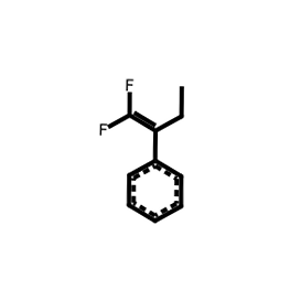 CCC(=C(F)F)c1ccccc1